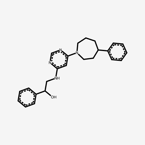 OC(CNc1cc(N2CCCC(c3ccccc3)CC2)ncn1)c1ccccc1